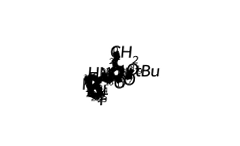 C=CCC1CN(C(=O)OC(C)(C)C)C(=O)c2cc(-c3ccnc4ccc(F)nc34)[nH]c21